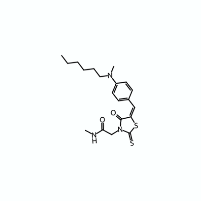 CCCCCCN(C)c1ccc(C=C2SC(=S)N(CC(=O)NC)C2=O)cc1